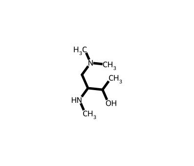 CNC(CN(C)C)C(C)O